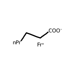 CCCCCC(=O)[O-].[Fr+]